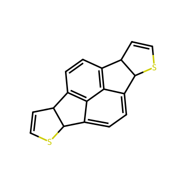 C1=CC2c3ccc4c5c(ccc(c35)C2S1)C1SC=CC41